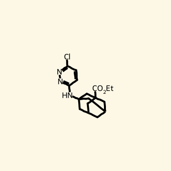 CCOC(=O)C12CC3CC(CC(Nc4ccc(Cl)nn4)(C3)C1)C2